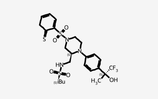 CC[C@H](C)S(=O)(=O)NC[C@H]1CN(S(=O)(=O)C2=CC=CCC2=S)CCN1c1ccc([C@](C)(O)C(F)(F)F)cc1